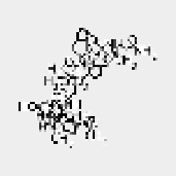 Cc1ncsc1-c1ccc([C@H](C)NC(=O)[C@@H]2C[C@H](O)CN2C(=O)[C@@H](NC(=O)CCCCc2ccc(CO[C@H](C)[C@H](CCC(N)=O)NC(=O)[C@@H]3Cc4cccc5c4N3C(=O)[C@@H](NC(=O)OC(C)(C)C)CC5)cc2)C(C)(C)C)cc1